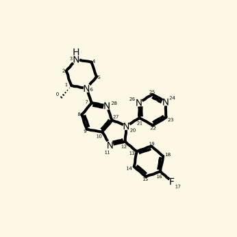 C[C@@H]1CNCCN1c1ccc2nc(-c3ccc(F)cc3)n(-c3ccncn3)c2n1